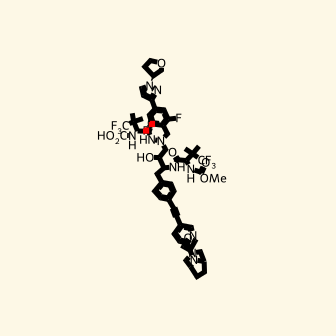 COC(=O)NC(C(=O)NC(Cc1ccc(C#Cc2ccc(N3CC4CCC(C3)N4C3COC3)nc2)cc1)C(O)CN(Cc1c(F)cc(-c2ccn([C@@H]3CCOC3)n2)cc1F)NC(=O)C(NC(=O)O)C(C)(C)C(F)(F)F)C(C)(C)C(F)(F)F